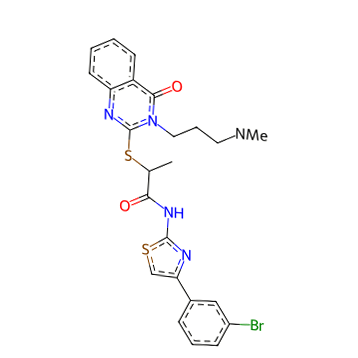 CNCCCn1c(SC(C)C(=O)Nc2nc(-c3cccc(Br)c3)cs2)nc2ccccc2c1=O